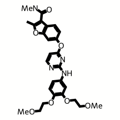 CNC(=O)c1c(C)oc2cc(Oc3ccnc(Nc4ccc(OCCOC)c(OCCOC)c4)n3)ccc12